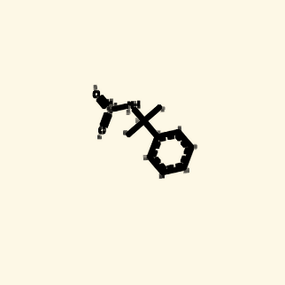 CC(C)(N[SH](=O)=O)c1ccccc1